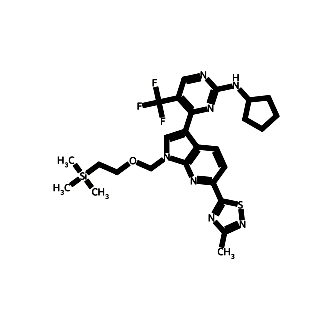 Cc1nsc(-c2ccc3c(-c4nc(NC5CCCC5)ncc4C(F)(F)F)cn(COCC[Si](C)(C)C)c3n2)n1